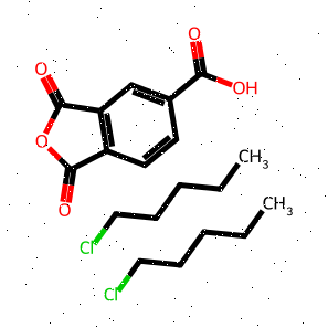 CCCCCCl.CCCCCCl.O=C(O)c1ccc2c(c1)C(=O)OC2=O